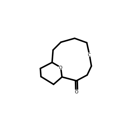 O=C1CCCCCCCC2CCCC1O2